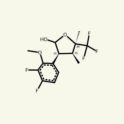 COc1c([C@H]2C(O)O[C@@](C)(C(F)(F)F)[C@H]2C)ccc(F)c1F